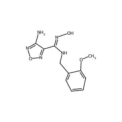 COc1ccccc1CN/C(=N\O)c1nonc1N